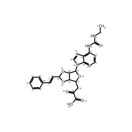 CCNC(=O)Nc1ncnc2c1ncn2C1OC(CC(=O)C(=O)O)C2OC(/C=C/c3ccccc3)OC21